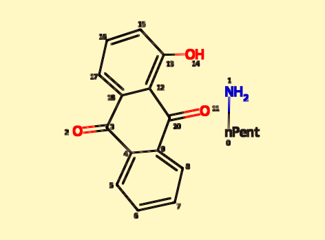 CCCCCN.O=C1c2ccccc2C(=O)c2c(O)cccc21